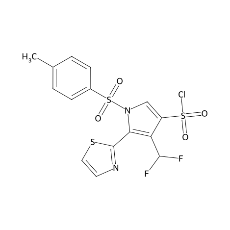 Cc1ccc(S(=O)(=O)n2cc(S(=O)(=O)Cl)c(C(F)F)c2-c2nccs2)cc1